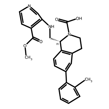 COC(=O)c1ccncc1NC[C@H]1c2ccc(-c3ccccc3C)cc2CCN1C(=O)O